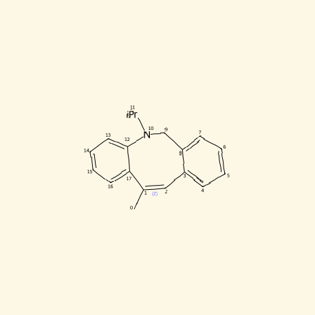 C/C1=C/c2ccccc2CN(C(C)C)c2ccccc21